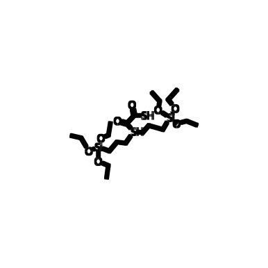 CCO[Si](CCC[SH](CCC[Si](OCC)(OCC)OCC)C(=O)C(=O)S)(OCC)OCC